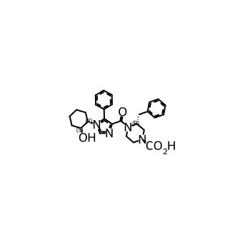 O=C(O)N1CCN(C(=O)c2ncn([C@@H]3CCCC[C@@H]3O)c2-c2ccccc2)[C@H](Cc2ccccc2)C1